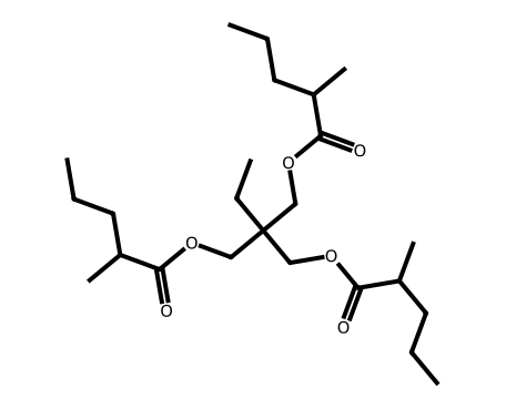 CCCC(C)C(=O)OCC(CC)(COC(=O)C(C)CCC)COC(=O)C(C)CCC